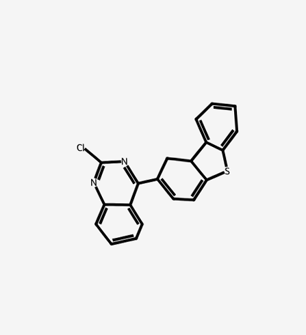 Clc1nc(C2=CC=C3Sc4ccccc4C3C2)c2ccccc2n1